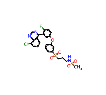 CS(=O)(=O)NCCCS(=O)(=O)c1cccc(Oc2ccc(F)c(-c3ncnc4c(Cl)cccc34)c2)c1